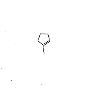 [B]C1=CCCC1